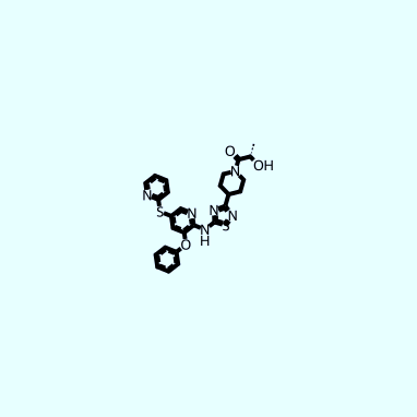 C[C@H](O)C(=O)N1CCC(c2nsc(Nc3ncc(Sc4ccccn4)cc3Oc3ccccc3)n2)CC1